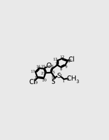 CCSC(=S)c1c(-c2ccc(Cl)cc2)oc2ccc(Cl)cc12